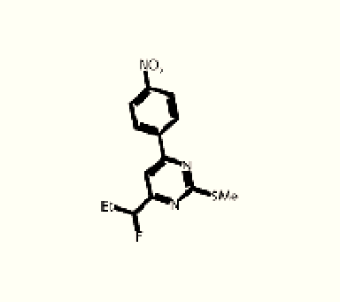 CCC(F)c1cc(-c2ccc([N+](=O)[O-])cc2)nc(SC)n1